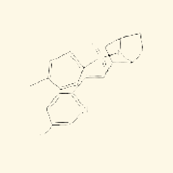 Cc1ccc(S(=O)(=O)N2C3CCC2C(C=Cc2ccc(Br)cn2)C3)cc1